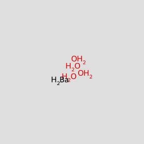 O.O.O.O.[BaH2]